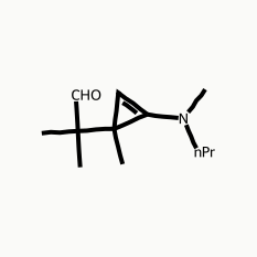 CCCN(C)C1=CC1(C)C(C)(C)C=O